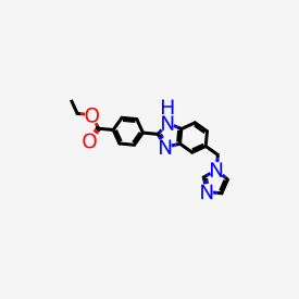 CCOC(=O)c1ccc(-c2nc3cc(Cn4ccnc4)ccc3[nH]2)cc1